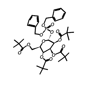 CC(C)(C)C(=O)OC[C@H]1O[C@H](OP(=O)(OCc2ccccc2)OCc2ccccc2)[C@@H](OC(=O)C(C)(C)C)[C@@H](OC(=O)C(C)(C)C)[C@@H]1OC(=O)C(C)(C)C